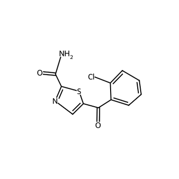 NC(=O)c1ncc(C(=O)c2ccccc2Cl)s1